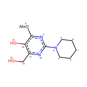 COc1nc(N2CCCCC2)nc(CO)c1O